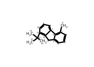 Cc1cccc2c1-c1cccc(C(C)(C)C)c1[CH]2